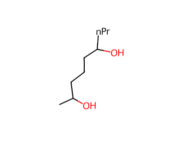 [CH2]CCC(O)CCCC(C)O